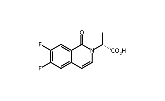 C[C@H](C(=O)O)n1ccc2cc(F)c(F)cc2c1=O